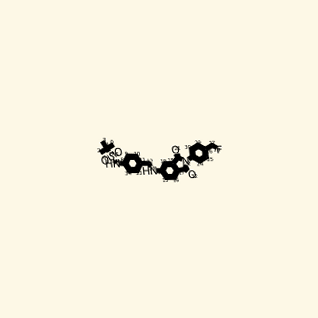 CC(C)(C)S(=O)(=O)Nc1ccc(CNc2ccc3c(c2)C(=O)N(c2ccc(CF)cc2)C3=O)cc1